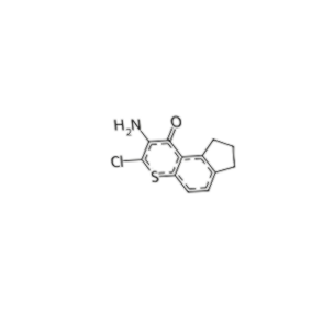 Nc1c(Cl)sc2ccc3c(c2c1=O)CCC3